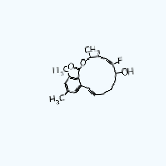 Cc1cc(C)c2c(c1)/C=C/CCCC(O)/C(F)=C\C[C@H](C)OC2=O